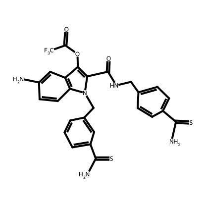 NC(=S)c1ccc(CNC(=O)c2c(OC(=O)C(F)(F)F)c3cc(N)ccc3n2Cc2cccc(C(N)=S)c2)cc1